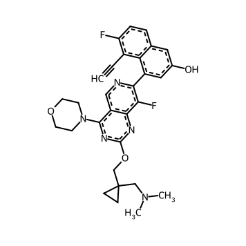 C#Cc1c(F)ccc2cc(O)cc(-c3ncc4c(N5CCOCC5)nc(OCC5(CN(C)C)CC5)nc4c3F)c12